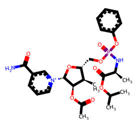 CC(=O)O[C@@H]1[C@H](C)[C@@H](COP(=O)(N[C@@H](C)C(=O)OC(C)C)Oc2ccccc2)O[C@H]1[n+]1cccc(C(N)=O)c1